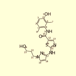 Cc1ccc(O)c(C)c1NC(=O)c1cnc(Nc2ccn(CCCO)n2)s1